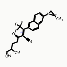 C[C@@H]1CN1c1ccc2cc(/C(=C(\C#N)C(=O)CCC(O)CO)C(F)(F)F)ccc2c1